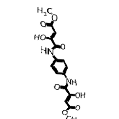 COC(=O)/C=C(\O)C(=O)Nc1ccc(NC(=O)/C(O)=C/C(=O)OC)cc1